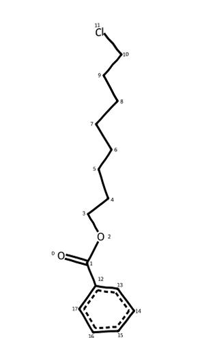 O=C(OCCCCCCCCCl)c1ccccc1